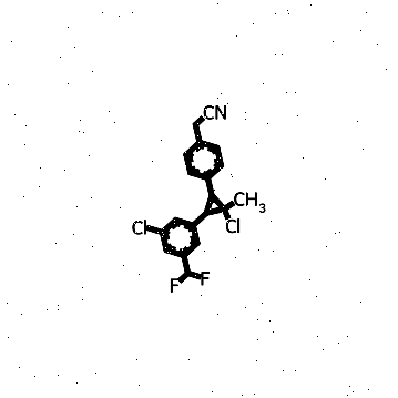 CC1(Cl)C(c2ccc(CC#N)cc2)C1c1cc(Cl)cc(C(F)F)c1